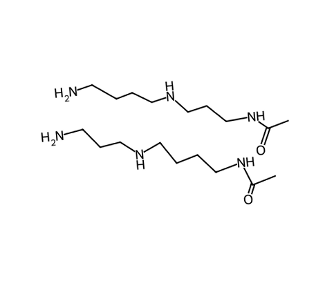 CC(=O)NCCCCNCCCN.CC(=O)NCCCNCCCCN